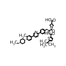 CC[C@H]1CC[C@H](C2C=CC(c3ccc(-c4ccc(C[C@H](NC(=O)c5ccc(C(C)(C)C)s5)C(=O)N5CC(C(=O)O)C5)cc4)nc3)=CC2C)CC1